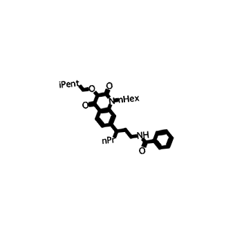 CCCCCCN1C(=O)C(OCC(C)CCC)C(=O)c2ccc(C(CCC)CCNC(=O)c3ccccc3)cc21